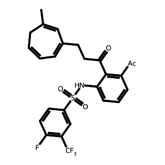 CC(=O)c1cccc(NS(=O)(=O)c2ccc(F)c(C(F)(F)F)c2)c1C(=O)CCC1=CC=CCC(C)=C1